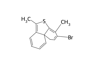 CC1=C2C=CC=CC23CC=C(Br)C(C)=C3S1